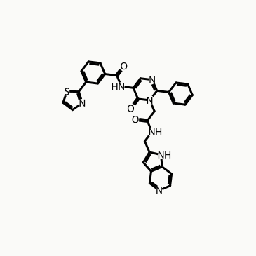 O=C(Cn1c(-c2ccccc2)ncc(NC(=O)c2cccc(-c3nccs3)c2)c1=O)NCc1cc2cnccc2[nH]1